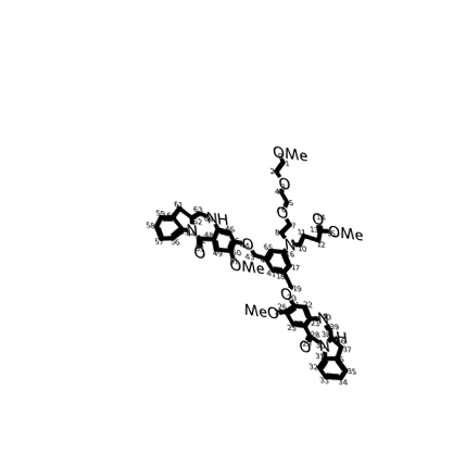 COCCOCCOCCN(CCCC(=O)OC)c1cc(COc2cc3c(cc2OC)C(=O)N2c4ccccc4C[C@H]2C=N3)cc(COc2cc3c(cc2OC)C(=O)N2c4ccccc4CC2CN3)c1